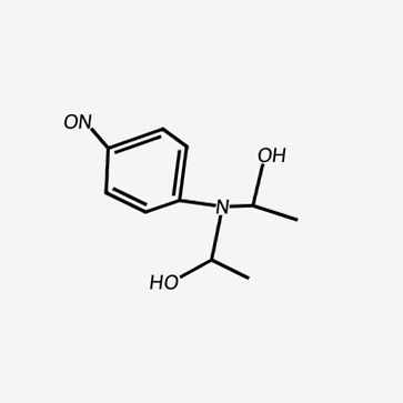 CC(O)N(c1ccc(N=O)cc1)C(C)O